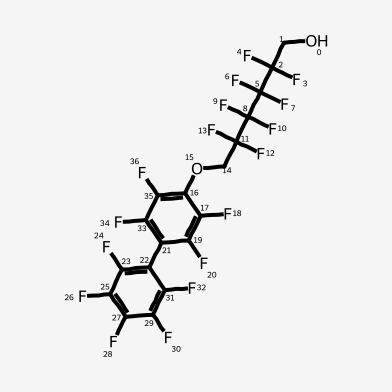 OCC(F)(F)C(F)(F)C(F)(F)C(F)(F)COc1c(F)c(F)c(-c2c(F)c(F)c(F)c(F)c2F)c(F)c1F